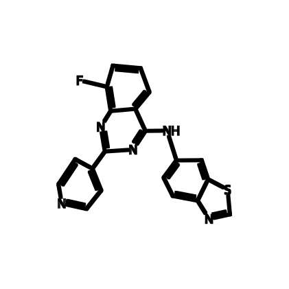 Fc1cccc2c(Nc3ccc4ncsc4c3)nc(-c3ccncc3)nc12